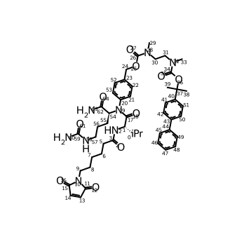 CC(C)[C@H](NC(=O)CCCCCN1C(=O)C=CC1=O)C(=O)N(c1ccc(COC(=O)N(C)CCN(C)C(=O)OC(C)(C)c2ccc(-c3ccccc3)cc2)cc1)[C@@H](CCCNC(N)=O)C(N)=O